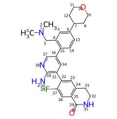 CN(C)Cc1cc(C2CCOCC2)ccc1-c1cnc(N)c(-c2cc3c(cc2F)C(=O)NCC3)c1